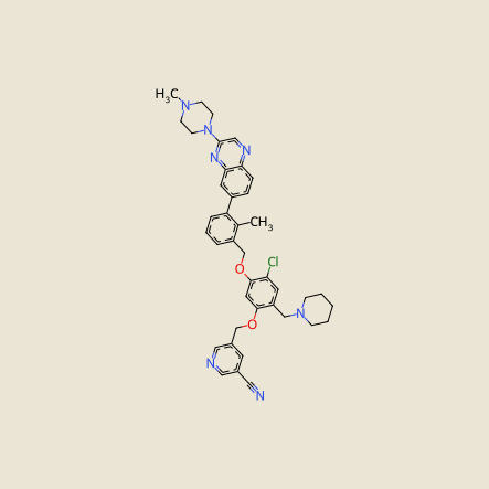 Cc1c(COc2cc(OCc3cncc(C#N)c3)c(CN3CCCCC3)cc2Cl)cccc1-c1ccc2ncc(N3CCN(C)CC3)nc2c1